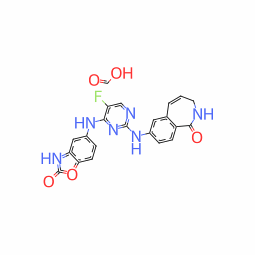 O=C1NCC=Cc2cc(Nc3ncc(F)c(Nc4ccc5oc(=O)[nH]c5c4)n3)ccc21.O=CO